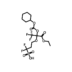 CCOC(=O)C(OCCC(F)(F)S(=O)(=O)O)(OC(=O)OC1CCCCC1)C(F)(F)F